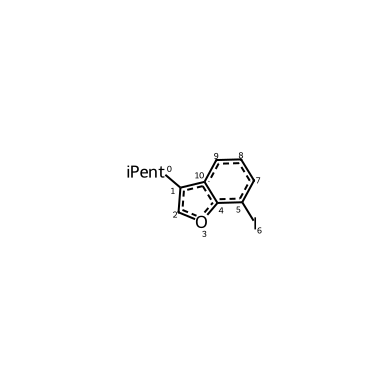 CCCC(C)c1coc2c(I)cccc12